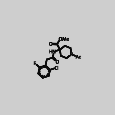 COC(=O)C1(NC(=O)Cc2c(F)cccc2Cl)CCN(C(C)=O)CC1